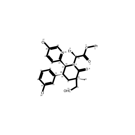 CC[C@@H](C(=O)OC(C)C)N1C(=O)[C@@](C)(CC=O)C[C@H](c2cccc(Cl)c2)[C@H]1c1ccc(Cl)cn1